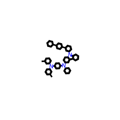 Cc1cccc(N(c2ccc(N(c3ccccc3)c3ccc4c(c3)c3ccccc3n4-c3cccc(-c4ccc(-c5ccccc5)cc4)c3)cc2)c2cccc(C)c2)c1